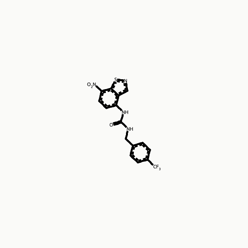 O=C(NCc1ccc(C(F)(F)F)cc1)Nc1ccc([N+](=O)[O-])c2sncc12